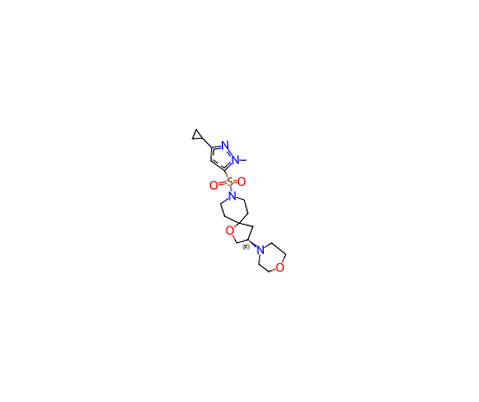 Cn1nc(C2CC2)cc1S(=O)(=O)N1CCC2(CC1)C[C@@H](N1CCOCC1)CO2